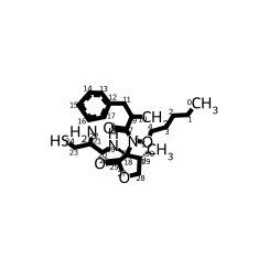 CCCCCON(C(=O)C(C)Cc1ccccc1)[C@@]1(NCC(N)CS)C(=O)OC[C@H]1C